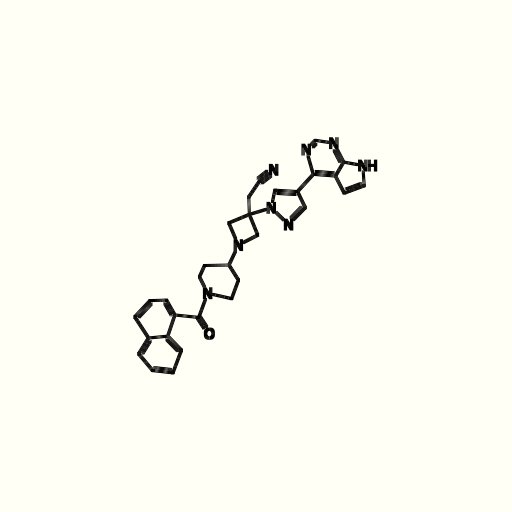 N#CCC1(n2cc(-c3ncnc4[nH]ccc34)cn2)CN(C2CCN(C(=O)c3cccc4ccccc34)CC2)C1